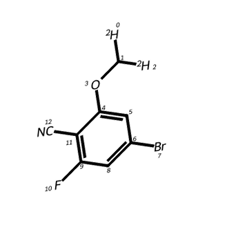 [2H]C([2H])Oc1cc(Br)cc(F)c1C#N